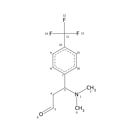 CN(C)C(CC=O)c1ccc(C(F)(F)F)cc1